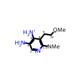 CNc1ncc(N)c(N)c1CCOC